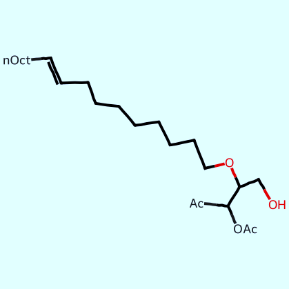 CCCCCCCCC=CCCCCCCCCOC(CO)C(OC(C)=O)C(C)=O